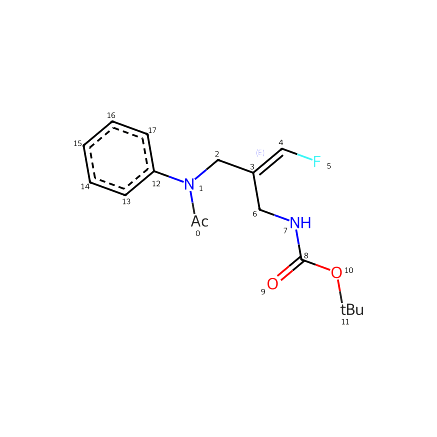 CC(=O)N(C/C(=C/F)CNC(=O)OC(C)(C)C)c1ccccc1